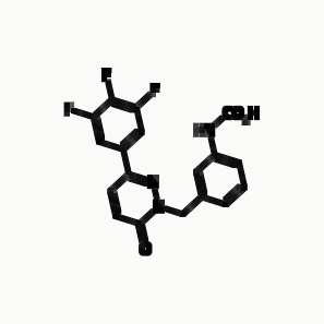 O=C(O)Nc1cccc(Cn2nc(-c3cc(F)c(F)c(F)c3)ccc2=O)c1